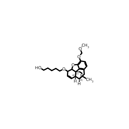 COCOc1ccc2c3c1OC1C(OCCCCCO)C=C[C@H]4[C@@H](C2)N(C)CC[C@]314